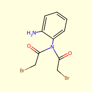 Nc1ccccc1N(C(=O)CBr)C(=O)CBr